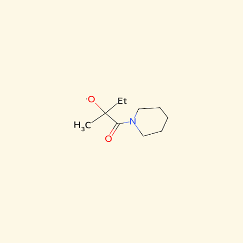 CCC(C)([O])C(=O)N1CCCCC1